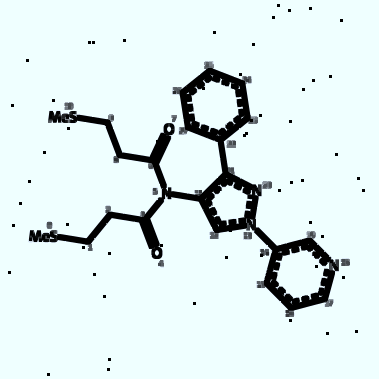 CSCCC(=O)N(C(=O)CCSC)c1cn(-c2cccnc2)nc1-c1ccccc1